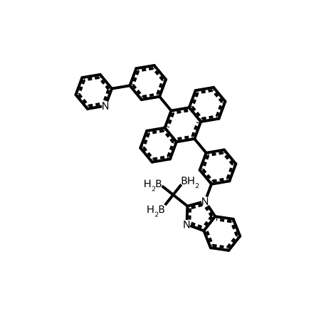 BC(B)(B)c1nc2ccccc2n1-c1cccc(-c2c3ccccc3c(-c3cccc(-c4ccccn4)c3)c3ccccc23)c1